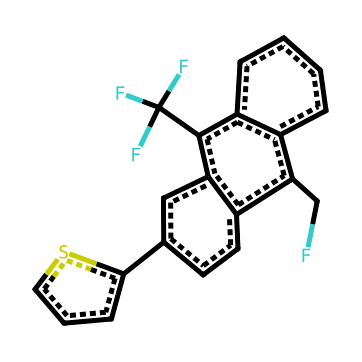 FCc1c2ccccc2c(C(F)(F)F)c2cc(-c3cccs3)ccc12